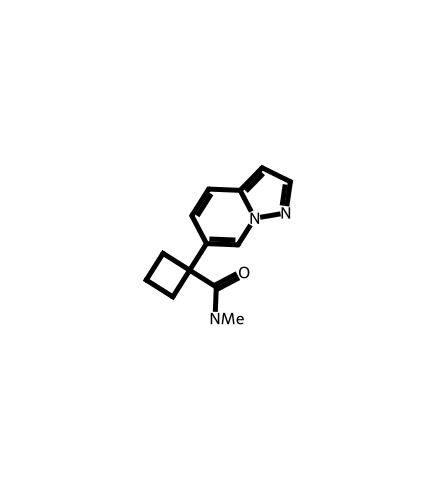 CNC(=O)C1(c2ccc3ccnn3c2)CCC1